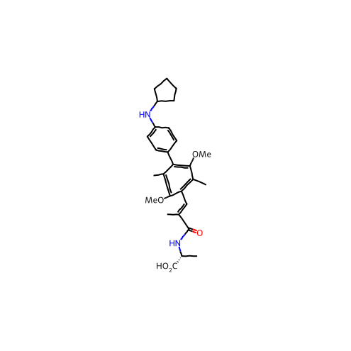 COc1c(C)c(-c2ccc(NC3CCCC3)cc2)c(OC)c(C)c1/C=C(\C)C(=O)N[C@H](C)C(=O)O